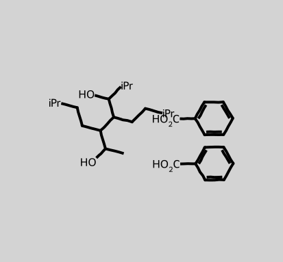 CC(C)CCC(C(C)O)C(CCC(C)C)C(O)C(C)C.O=C(O)c1ccccc1.O=C(O)c1ccccc1